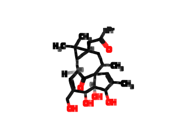 CCCC(=O)C[C@@]12CC(C)C34C=C(C)C(O)[C@@]3(O)C(O)C(CO)=C[C@H](C4=O)C1C2(C)C